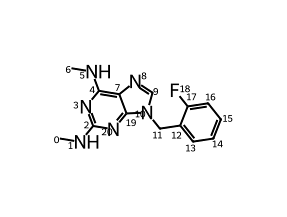 CNc1nc(NC)c2ncn(Cc3ccccc3F)c2n1